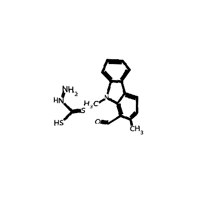 Cc1ccc2c3ccccc3n(C)c2c1C=O.NNC(=S)S